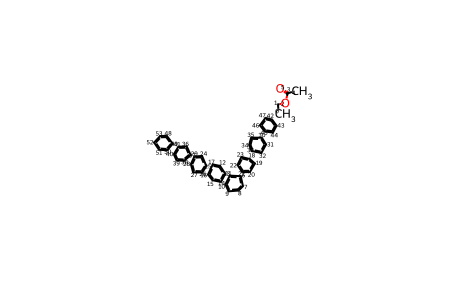 CCOC(C)=O.c1ccccc1.c1ccccc1.c1ccccc1.c1ccccc1.c1ccccc1.c1ccccc1.c1ccccc1.c1ccccc1